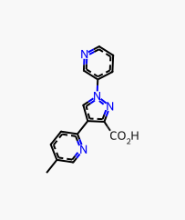 Cc1ccc(-c2cn(-c3cccnc3)nc2C(=O)O)nc1